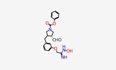 N=C(COc1cccc(CC2CN(C(=O)Oc3ccccc3)C[C@@H]2C=O)c1)NO